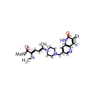 C=N/C(=C\C=C(/C)N1CCN(Cc2cnc3c(F)c(CC)c(=O)[nH]c3c2)CC1)C(=O)NC